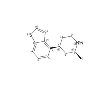 C[C@H]1C[C@@H](c2cccc3sccc23)CCN1